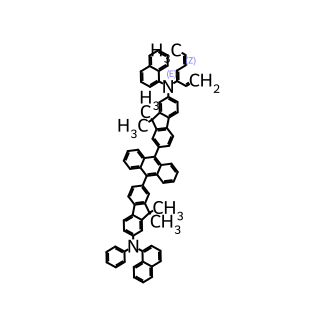 C=C/C(=C\C=C/C)N(c1ccc2c(c1)C(C)(C)c1cc(-c3c4ccccc4c(-c4ccc5c(c4)C(C)(C)c4cc(N(c6ccccc6)c6cccc7ccccc67)ccc4-5)c4ccccc34)ccc1-2)c1cccc2ccccc12